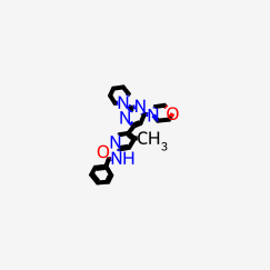 Cc1cc(NC(=O)c2ccccc2)ncc1-c1cc(N2CCOCC2)nc(N2CCCCC2)n1